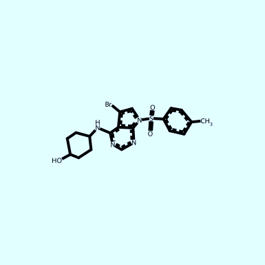 Cc1ccc(S(=O)(=O)n2cc(Br)c3c(NC4CCC(O)CC4)ncnc32)cc1